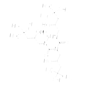 CC(C)(C)CC(O)CNC(=O)N(CC(O)CC(C)(C)C)C(=O)N(C=O)CC(O)CC(C)(C)C